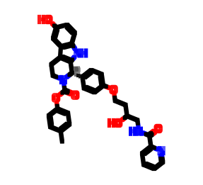 Cc1ccc(OC(=O)N2CCc3c([nH]c4ccc(O)cc34)[C@@H]2c2ccc(OCCC(O)CNC(=O)c3ccccn3)cc2)cc1